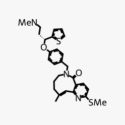 CNCC[C@@H](Oc1ccc(CN2CCC/C(C)=C/c3nc(SC)ccc3C2=O)cc1)c1cccs1